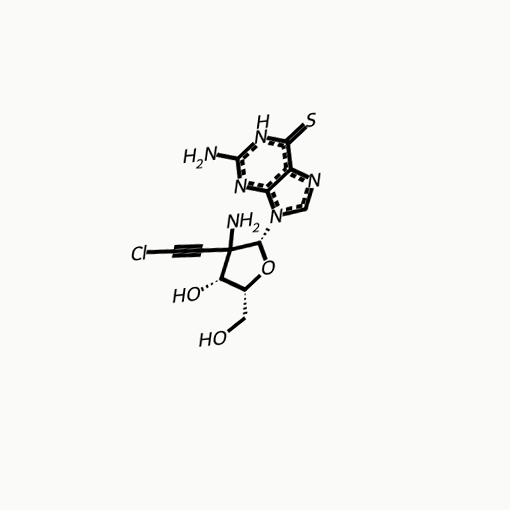 Nc1nc2c(ncn2[C@@H]2O[C@H](CO)[C@H](O)C2(N)C#CCl)c(=S)[nH]1